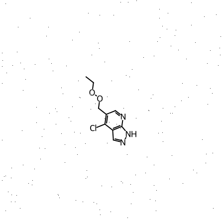 CCOOCc1cnc2[nH]ncc2c1Cl